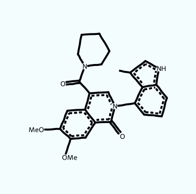 COc1cc2c(C(=O)N3CCCCC3)cn(-c3cccc4[nH]cc(C)c34)c(=O)c2cc1OC